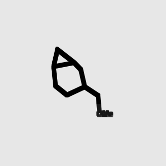 COCC1CCC2CC2C1